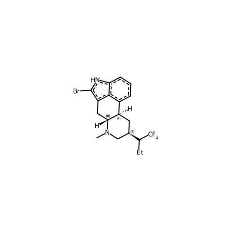 CC[C]([C@@H]1C[C@@H]2c3cccc4[nH]c(Br)c(c34)C[C@H]2N(C)C1)C(F)(F)F